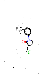 O=C1[C@H](CCl)CCN1c1cccc(C(F)(F)F)c1